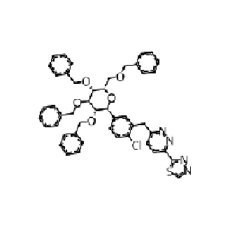 Clc1ccc([C@@H]2O[C@H](COCc3ccccc3)[C@@H](OCc3ccccc3)[C@H](OCc3ccccc3)[C@H]2OCc2ccccc2)cc1Cc1ccc(-c2nncs2)nn1